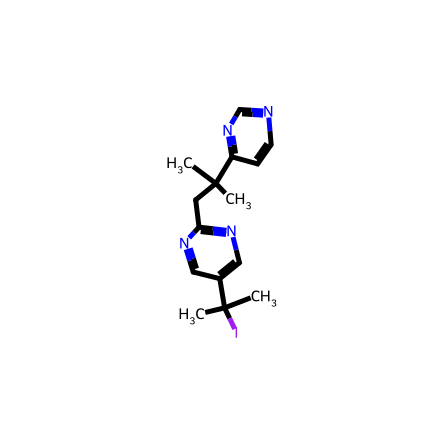 CC(C)(I)c1cnc(CC(C)(C)c2ccncn2)nc1